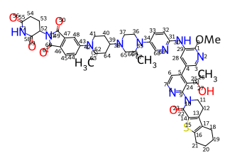 COc1ncc(-c2ccnc(N3CCc4c(sc5c4CCCC5)C3=O)c2[C@H](C)O)cc1Nc1ccc(N2CCN(C3CCN(c4ccc5c(c4)C(=O)N(C4CCC(=O)NC4=O)C5=O)[C@@H](C)C3)C[C@@H]2C)cn1